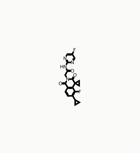 O=C(CN1C(=O)c2ccc(C3CC3)c(F)c2C2(CC2)C1=O)Nc1ncc(F)cn1